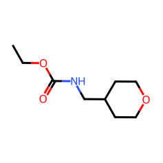 CCOC(=O)NCC1CCOCC1